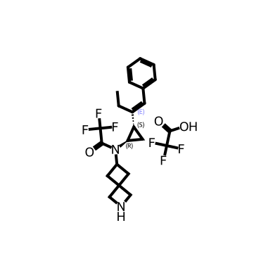 CC/C(=C\c1ccccc1)[C@@H]1C[C@H]1N(C(=O)C(F)(F)F)C1CC2(CNC2)C1.O=C(O)C(F)(F)F